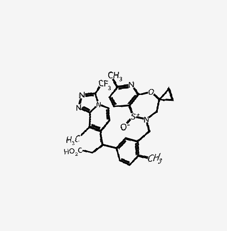 Cc1ccc2c(n1)OC1(CC1)CN(Cc1cc(C(CC(=O)O)c3ccn4c(C(F)(F)F)nnc4c3C)ccc1C)[S+]2[O-]